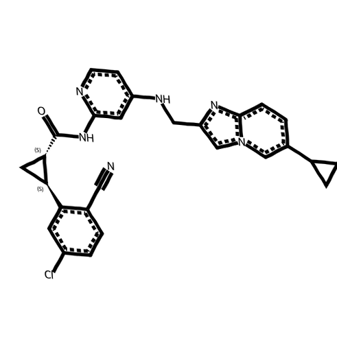 N#Cc1ccc(Cl)cc1[C@H]1C[C@@H]1C(=O)Nc1cc(NCc2cn3cc(C4CC4)ccc3n2)ccn1